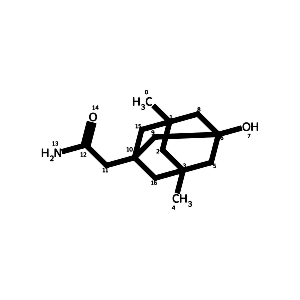 CC12CC3(C)CC(O)(C1)CC(CC(N)=O)(C2)C3